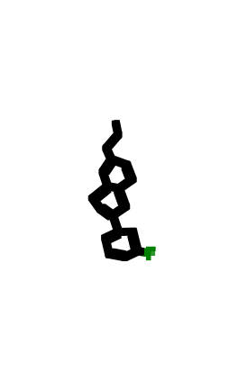 CCCc1ccc2cc(-c3cccc(F)c3)ccc2c1